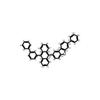 c1ccc(-c2cccc(-c3c4ccccc4c(-c4ccc5oc6cc(-c7ccccc7)ccc6c5c4)c4ccccc34)c2)cc1